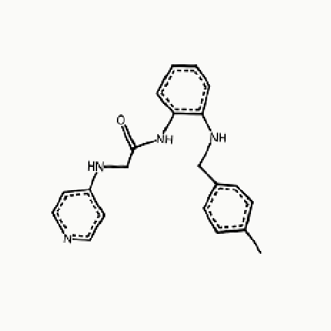 Cc1ccc(CNc2ccccc2NC(=O)CNc2ccncc2)cc1